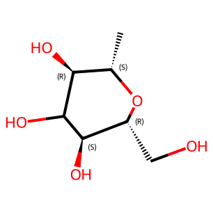 C[C@@H]1O[C@H](CO)[C@@H](O)C(O)[C@H]1O